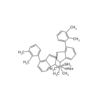 CCCCC[CH2][Hf]([CH3])([CH3])([CH3])(=[SiH2])([CH]1C=Cc2c(-c3cccc(C)c3C)cccc21)[CH]1C=Cc2c(-c3cccc(C)c3C)cccc21